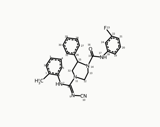 Cc1ccccc1N/C(=N/C#N)N1CCN(C(=O)Nc2cccc(F)c2)C(c2ccccc2)C1